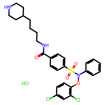 Cl.O=C(NCCCCC1CCNCC1)c1ccc(S(=O)(=O)N(Oc2ccc(Cl)cc2Cl)c2ccccc2)cc1